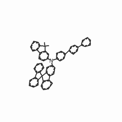 CC1(C)c2ccccc2-c2ccc(N(c3ccc(-c4ccc(-c5ccccc5)cc4)cc3)c3ccc4c(c3)C3(c5ccccc5-c5ccccc53)c3ccccc3-4)cc21